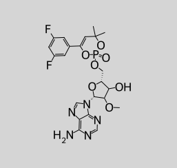 COC1C(O)[C@@H](COP2(=O)OC(c3cc(F)cc(F)c3)=CC(C)(C)O2)O[C@H]1n1cnc2c(N)ncnc21